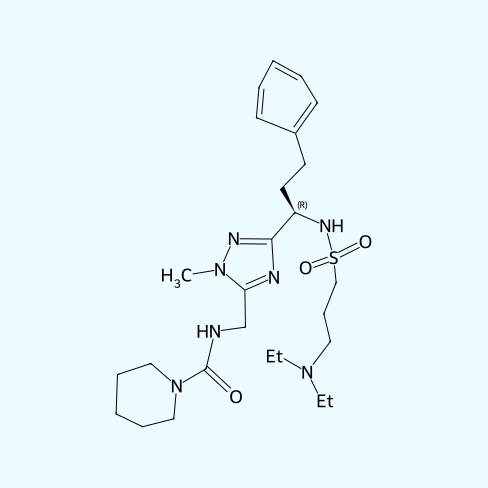 CCN(CC)CCCS(=O)(=O)N[C@H](CCc1ccccc1)c1nc(CNC(=O)N2CCCCC2)n(C)n1